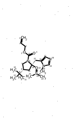 C=CCOC(=O)N1C[C@@H](C(C)(C)C)C[C@]1(Cc1cncn1C)O[SiH](C)C